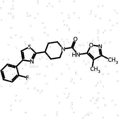 Cc1noc(NC(=O)N2CCC(c3nc(-c4ccccc4F)cs3)CC2)c1C